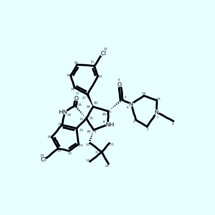 CN1CCN(C(=O)[C@@H]2N[C@H](CC(C)(C)C)[C@]3(C(=O)Nc4cc(Cl)ccc43)[C@H]2c2cccc(Cl)c2)CC1